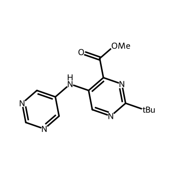 COC(=O)c1nc(C(C)(C)C)ncc1Nc1cncnc1